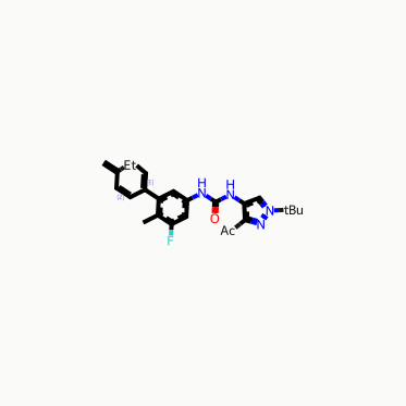 C=C(/C=C\C(=C/C)c1cc(NC(=O)Nc2cn(C(C)(C)C)nc2C(C)=O)cc(F)c1C)CC